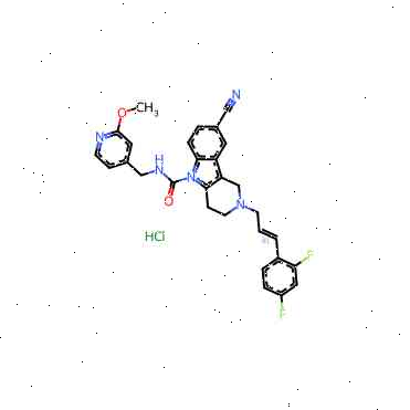 COc1cc(CNC(=O)n2c3c(c4cc(C#N)ccc42)CN(C/C=C/c2ccc(F)cc2F)CC3)ccn1.Cl